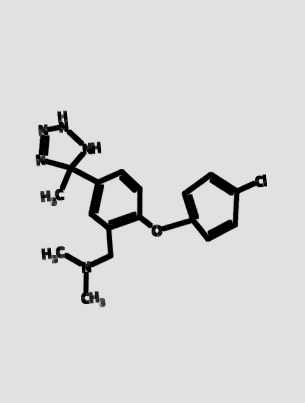 CN(C)Cc1cc(C2(C)N=NNN2)ccc1Oc1ccc(Cl)cc1